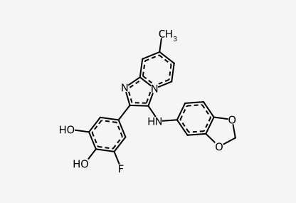 Cc1ccn2c(Nc3ccc4c(c3)OCO4)c(-c3cc(O)c(O)c(F)c3)nc2c1